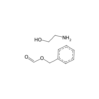 NCCO.O=COCc1ccccc1